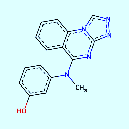 CN(c1cccc(O)c1)c1nc2nncn2c2ccccc12